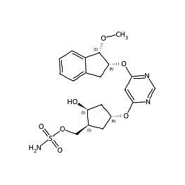 CO[C@H]1c2ccccc2C[C@H]1Oc1cc(O[C@@H]2C[C@@H](COS(N)(=O)=O)[C@@H](O)C2)ncn1